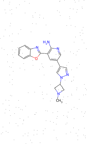 CN1CC(n2cc(-c3cnc(N)c(-c4nc5ccccc5o4)c3)cn2)C1